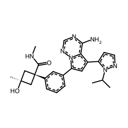 CNC(=O)[C@]1(c2cccc(-c3cc(-c4ccnn4C(C)C)c4c(N)ncnn34)c2)C[C@@](C)(O)C1